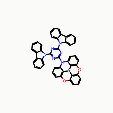 c1cc2c3c(c1)Oc1cccc4c1B3c1c(cccc1N4c1nc(-n3c4ccccc4c4ccccc43)nc(-n3c4ccccc4c4ccccc43)n1)O2